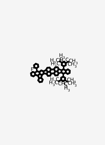 CC(C)(C)c1cc(-c2c3c(c(-c4cc(C(C)(C)C)cc(C(C)(C)C)c4)c4ccccc24)-c2ccc4c5ccc6c7c(ccc(c8ccc-3c2c84)c57)c2cc3c(-c4ccccc4F)c4ccccc4c4c5ccccc5c(c26)c34)cc(C(C)(C)C)c1